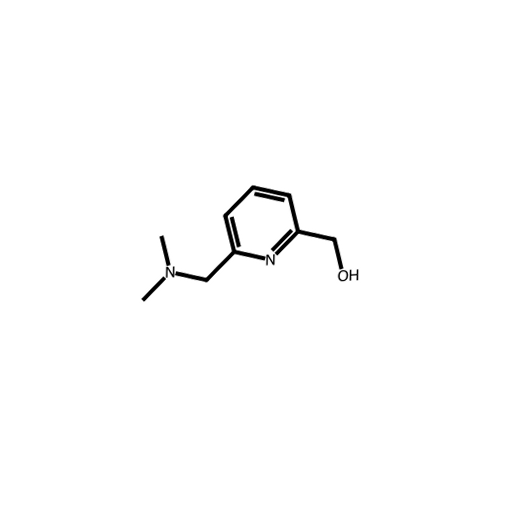 CN(C)Cc1cccc(CO)n1